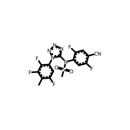 Cc1c(F)cc(-n2nnnc2N(c2cc(F)c(C#N)cc2F)S(C)(=O)=O)c(F)c1F